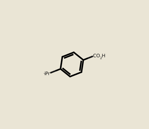 C[C](C)c1ccc(C(=O)O)cc1